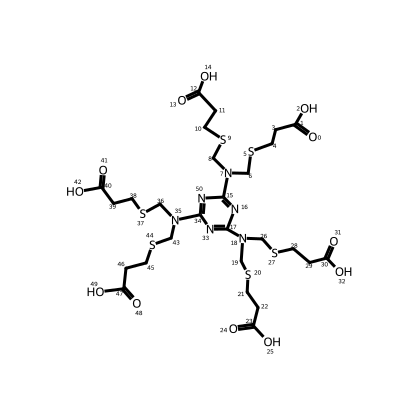 O=C(O)CCSCN(CSCCC(=O)O)c1nc(N(CSCCC(=O)O)CSCCC(=O)O)nc(N(CSCCC(=O)O)CSCCC(=O)O)n1